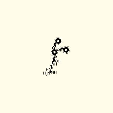 N=C(N)NCCNCC(O)COc1ccc(OCCc2ccccc2)c(OCCc2ccccc2)c1